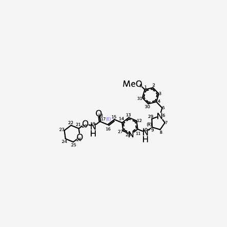 COc1ccc(CN2CC[C@@H](Nc3ccc(/C=C/C(=O)NOC4CCCCO4)cn3)C2)cc1